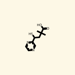 CC(C)(CC(S)c1cnccn1)C(=O)O